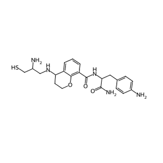 NC(=O)C(Cc1ccc(N)cc1)NC(=O)c1cccc2c1OCCC2NCC(N)CS